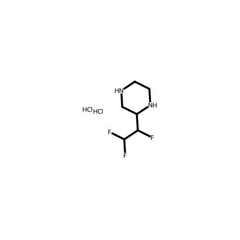 Cl.Cl.FC(F)C(F)C1CNCCN1